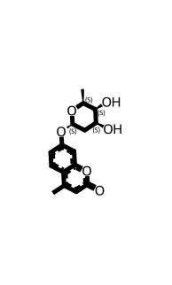 Cc1cc(=O)oc2cc(O[C@H]3C[C@H](O)[C@H](O)[C@H](C)O3)ccc12